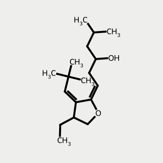 CCC1COC(=C/CC(O)CC(C)C)/C1=C\C(C)(C)C